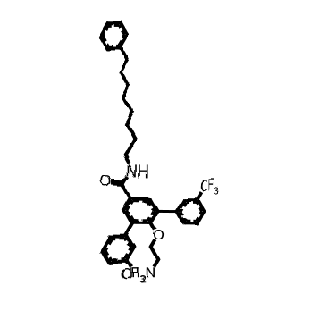 NCCOc1c(-c2cccc(C(F)(F)F)c2)cc(C(=O)NCCCCCCCCc2ccccc2)cc1-c1cccc(C(F)(F)F)c1